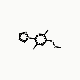 CONc1cc(Cl)c(-n2cccn2)nc1C